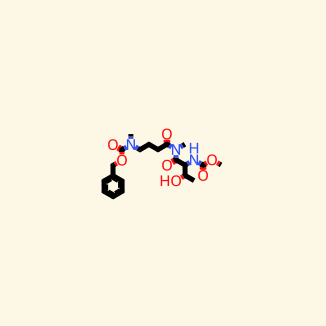 COC(=O)NC(C(=O)N(C)C(=O)CCCN(C)C(=O)OCc1ccccc1)C(C)O